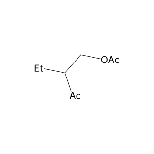 CCC(COC(C)=O)C(C)=O